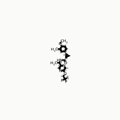 COc1ccc([C@H]2C[C@@H]2C(=O)NC(C)c2cnc(OCC(F)(F)F)cn2)cc1C